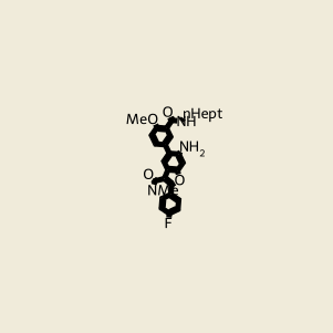 CCCCCCCNC(=O)c1cc(-c2cc3c(C(=O)NC)c(-c4ccc(F)cc4)oc3cc2N)ccc1OC